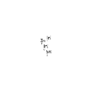 [In].[In].[Sn].[Zn]